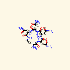 NCC(=O)N[C@@H](CC(N)=O)C(=O)N[C@@H](CC(N)=O)C(=O)N[C@@H](CC(N)=O)C(=O)N[C@@H](CC(N)=O)C(=O)NCC(=O)O